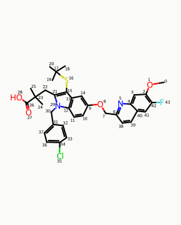 COc1cc2nc(COc3ccc4c(c3)c(SC(C)(C)C)c(CC(C)(C)C(=O)O)n4Cc3ccc(Cl)cc3)ccc2cc1F